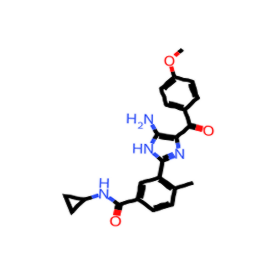 COc1ccc(C(=O)c2nc(-c3cc(C(=O)NC4CC4)ccc3C)[nH]c2N)cc1